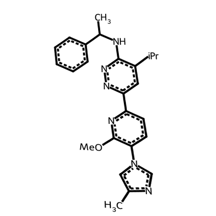 COc1nc(-c2cc(C(C)C)c(NC(C)c3ccccc3)nn2)ccc1-n1cnc(C)c1